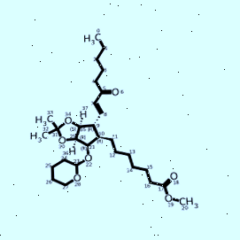 CCCCCC(=O)C=C[C@@H]1[C@@H](CCCCCCC(=O)OC)[C@@H](OC2CCCCO2)[C@H]2OC(C)(C)O[C@@H]12